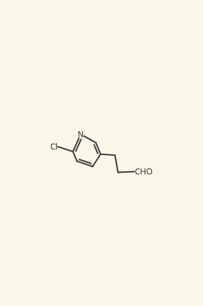 O=CCCc1ccc(Cl)nc1